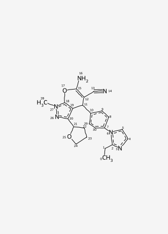 CCc1nccn1-c1ccc(C2C(C#N)=C(N)Oc3c2c(C2CCCO2)nn3C)cc1